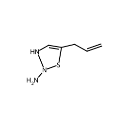 C=CCC1=CNN(N)S1